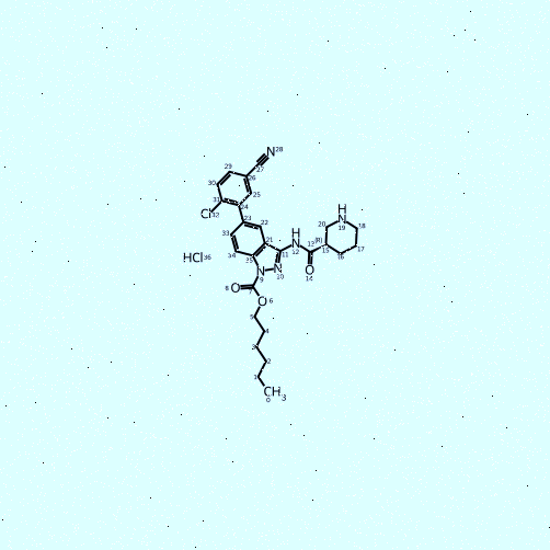 CCCCCCOC(=O)n1nc(NC(=O)[C@@H]2CCCNC2)c2cc(-c3cc(C#N)ccc3Cl)ccc21.Cl